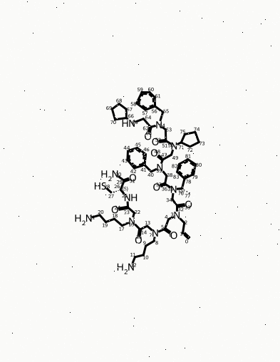 C=CCN(CC(=O)N(CCCCN)CC(=O)N(CCCCN)CC(=O)N[C@H](CS)C(N)=O)C(=O)CN(C(=O)CN(Cc1ccccc1)C(=O)CN(C(=O)CN(Cc1ccccc1)C(=O)CNC1CCCC1)C1CCCC1)[C@@H](C)c1ccccc1